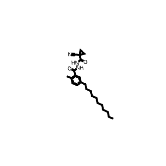 CCCCCCCCCCCc1ccc(C)c(C(=O)NNC(=O)C2(C#N)CC2)c1